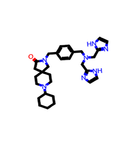 O=C1CC2(CCN(C3CCCCC3)CC2)CN1Cc1ccc(CN(Cc2ncc[nH]2)Cc2ncc[nH]2)cc1